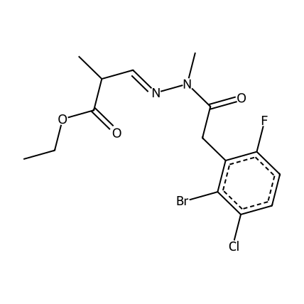 CCOC(=O)C(C)C=NN(C)C(=O)Cc1c(F)ccc(Cl)c1Br